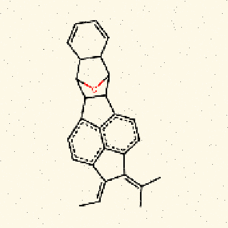 C/C=C1/C(=C(C)C)c2ccc3c4c(ccc1c24)C1C2OC(C4C=CC=CC42)C31